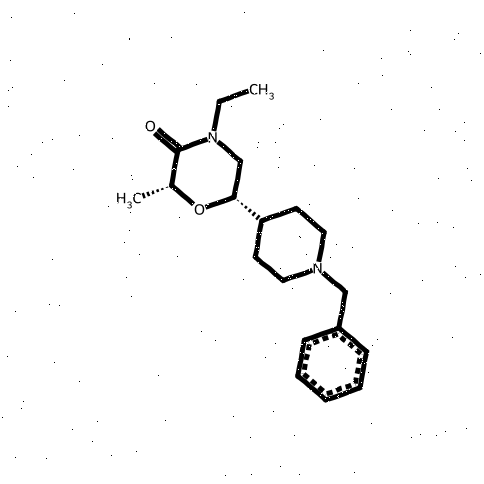 CCN1C[C@H](C2CCN(Cc3ccccc3)CC2)O[C@H](C)C1=O